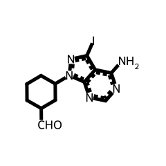 Nc1ncnc2c1c(I)nn2C1CCCC(C=O)C1